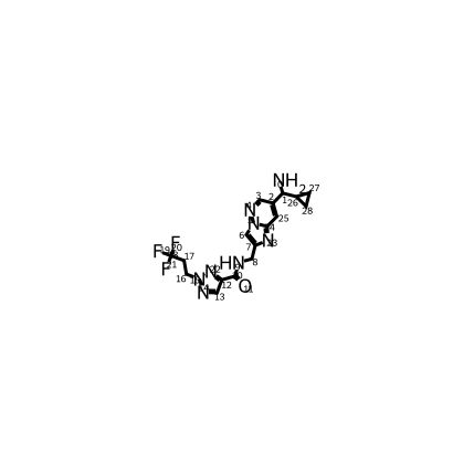 NC(c1cnn2cc(CNC(=O)c3cnn(CCC(F)(F)F)n3)nc2c1)C1CC1